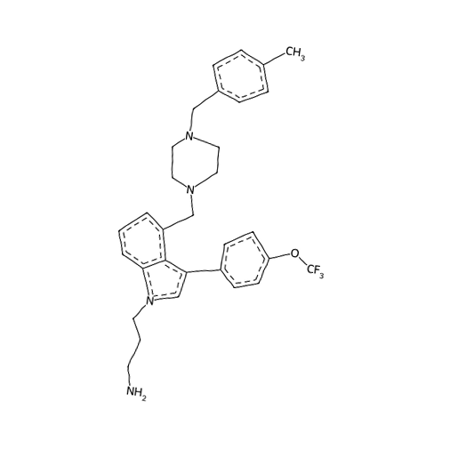 Cc1ccc(CN2CCN(Cc3cccc4c3c(-c3ccc(OC(F)(F)F)cc3)cn4CCCN)CC2)cc1